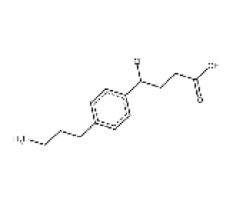 CCCCc1ccc(C(Cl)CCC(=O)O)cc1